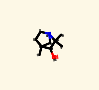 CC12CCN(C1)C(C)(C)C2O